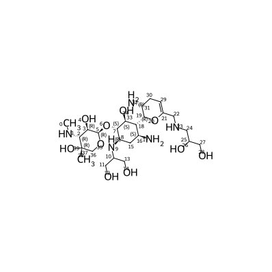 CN[C@@H]1[C@@H](O)[C@@H](O[C@H]2[C@H](NC(CO)CO)C[C@H](N)C([C@H]3OC(CNCC(O)CO)=CC[C@H]3N)[C@@H]2O)OC[C@]1(C)O